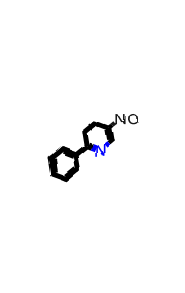 O=NC1=CN=C(c2ccccc2)CC1